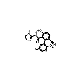 COc1ncc(F)cc1-c1c(C#N)ccc(O)c1C(=O)NC1=NCCN1